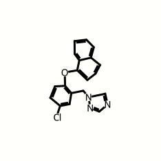 Clc1ccc(Oc2cccc3ccccc23)c(Cn2cncn2)c1